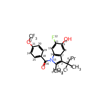 Cc1c([C@](C)(C(=O)O)C(C)C)c2cc(O)c(F)cc2n1C(=O)c1ccc(OC(F)(F)F)cc1